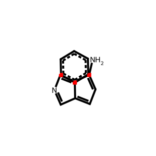 NC1=C/C=C(c2ccccc2)/C=N\C=N\1